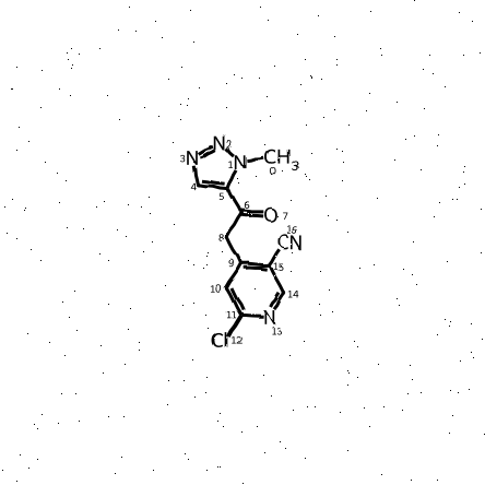 Cn1nncc1C(=O)Cc1cc(Cl)ncc1C#N